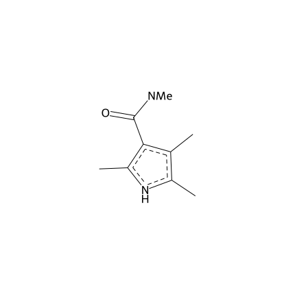 CNC(=O)c1c(C)[nH]c(C)c1C